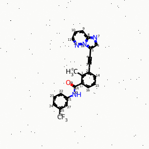 Cc1c(C#Cc2cnc3cccnn23)cccc1C(=O)Nc1cccc(C(F)(F)F)c1